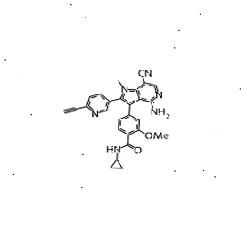 C#Cc1ccc(-c2c(-c3ccc(C(=O)NC4CC4)c(OC)c3)c3c(N)ncc(C#N)c3n2C)cn1